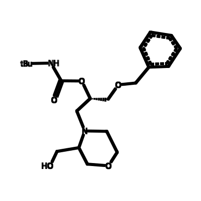 CC(C)(C)NC(=O)O[C@H](COCc1ccccc1)CN1CCOCC1CO